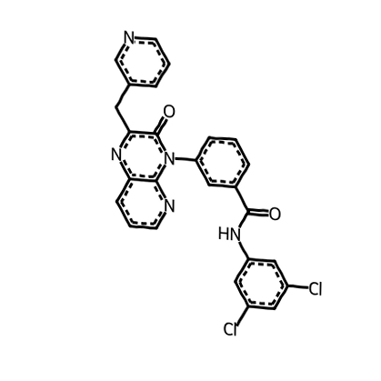 O=C(Nc1cc(Cl)cc(Cl)c1)c1cccc(-n2c(=O)c(Cc3cccnc3)nc3cccnc32)c1